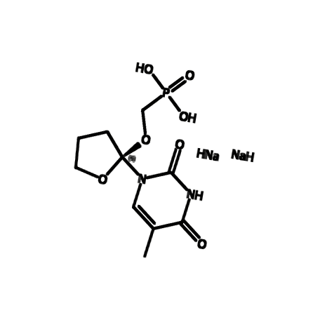 Cc1cn([C@@]2(OCP(=O)(O)O)CCCO2)c(=O)[nH]c1=O.[NaH].[NaH]